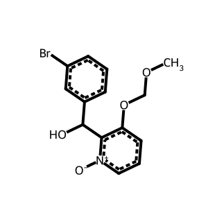 COCOc1ccc[n+]([O-])c1C(O)c1cccc(Br)c1